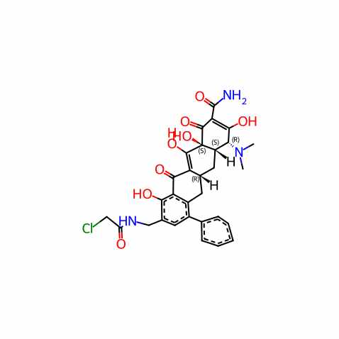 CN(C)[C@H]1C(O)=C(C(N)=O)C(=O)[C@@]2(O)C(O)=C3C(=O)c4c(O)c(CNC(=O)CCl)cc(-c5ccccc5)c4C[C@H]3C[C@@H]12